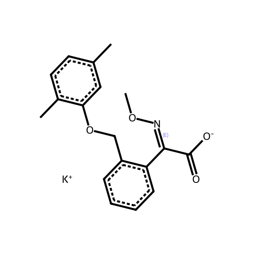 CO/N=C(/C(=O)[O-])c1ccccc1COc1cc(C)ccc1C.[K+]